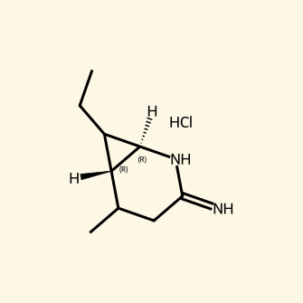 CCC1[C@H]2C(C)CC(=N)N[C@H]12.Cl